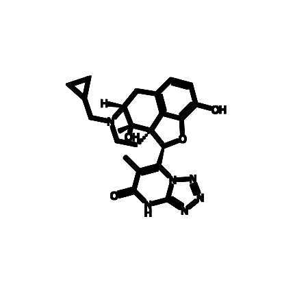 Cc1c([C@@H]2Oc3c(O)ccc4c3[C@@]23CCN(CC2CC2)[C@H](C4)[C@@]3(C)O)n2nnnc2[nH]c1=O